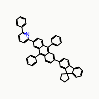 c1ccc(-c2cccc(-c3ccc4c(-c5ccccc5)c5cc(-c6ccc7c(c6)C6(CCCC6)c6ccccc6-7)ccc5c(-c5ccccc5)c4c3)n2)cc1